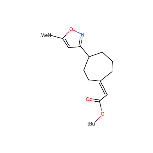 CNc1cc(C2CCC/C(=C/C(=O)OC(C)(C)C)CC2)no1